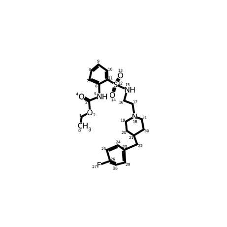 CCOC(=O)Nc1ccccc1S(=O)(=O)NCCN1CCC(Cc2ccc(F)cc2)CC1